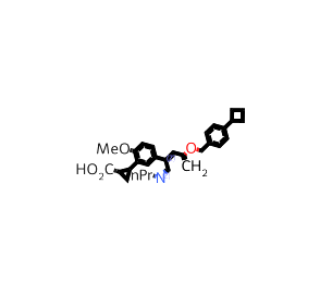 C=C(/C=C(\C=N/CCC)c1ccc(OC)c(C2CC2C(=O)O)c1)OCc1ccc(C2CCC2)cc1